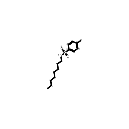 CCCCCCCCOS(=O)(=O)c1ccc(C)cc1